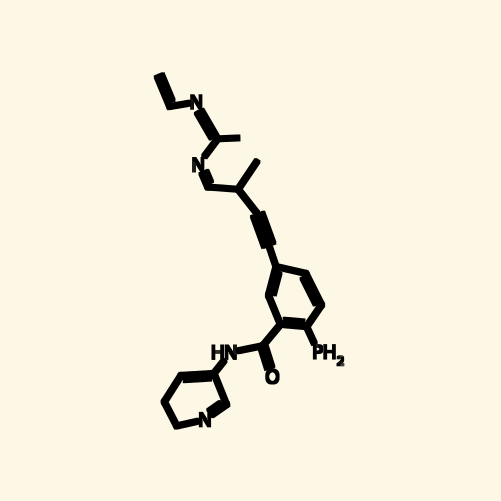 C=C/N=C(C)\N=C/C(C)C#Cc1ccc(P)c(C(=O)NC2=CCCN=C2)c1